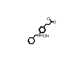 Cl.O=C(Cl)CCc1ccc(NCC2CC=CCC2)cc1